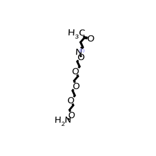 CC(=O)C/C=N/OCCOCCOCCOCCON